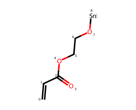 C=CC(=O)OCC[O][Sn]